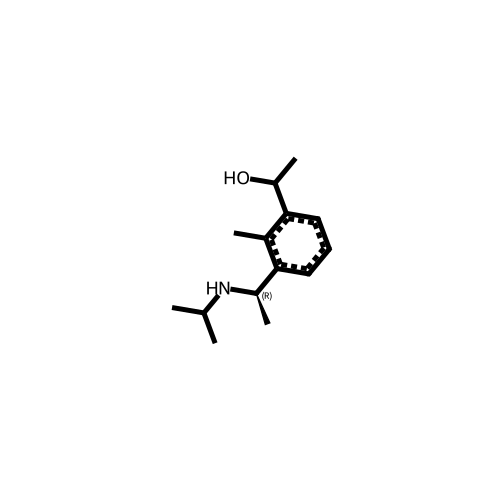 Cc1c(C(C)O)cccc1[C@@H](C)NC(C)C